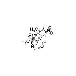 Cc1cc([N+](=O)[O-])ccc1N=C(N1CCOCC1)C(C)(C)C